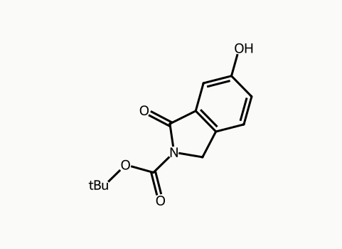 CC(C)(C)OC(=O)N1Cc2ccc(O)cc2C1=O